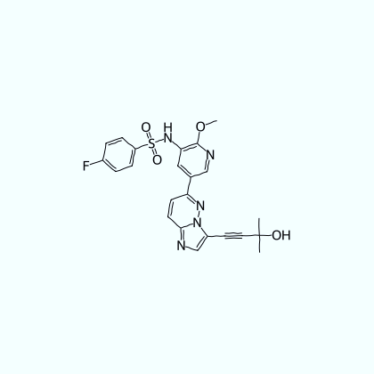 COc1ncc(-c2ccc3ncc(C#CC(C)(C)O)n3n2)cc1NS(=O)(=O)c1ccc(F)cc1